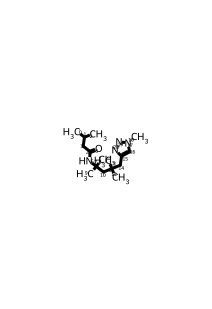 CC(C)CC(=O)NC(C)(C)CC(C)(C)Cc1cn(C)nn1